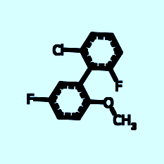 COc1ccc(F)cc1-c1c(F)cccc1Cl